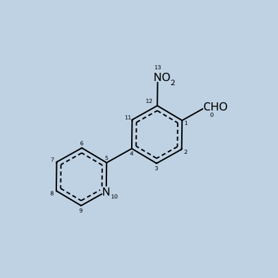 O=Cc1ccc(-c2ccccn2)cc1[N+](=O)[O-]